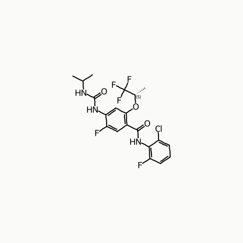 CC(C)NC(=O)Nc1cc(O[C@@H](C)C(F)(F)F)c(C(=O)Nc2c(F)cccc2Cl)cc1F